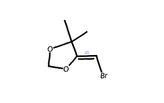 CC1(C)OCO/C1=C\Br